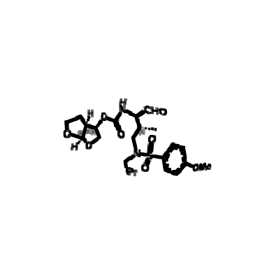 COc1ccc(S(=O)(=O)N(CC(C)C)C[C@@H](C)C(C=O)NC(=O)O[C@H]2CO[C@H]3OCC[C@H]32)cc1